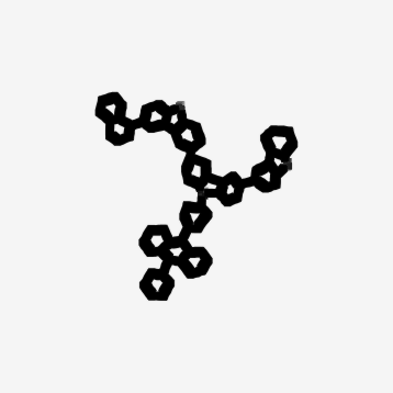 c1ccc(-c2c3ccccc3c(-c3ccc(-n4c5ccc(-c6ccc7sc8ccccc8c7c6)cc5c5cc(-c6ccc7sc8ccc(-c9cccc%10ccccc9%10)cc8c7c6)ccc54)cc3)c3ccccc23)cc1